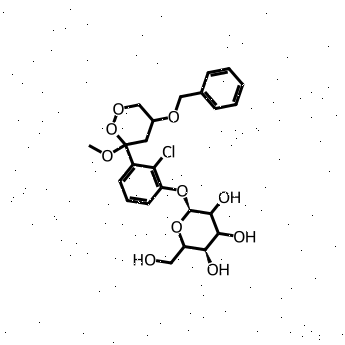 COC1(c2cccc(O[C@@H]3OC(CO)[C@H](O)C(O)C3O)c2Cl)CC(OCc2ccccc2)COO1